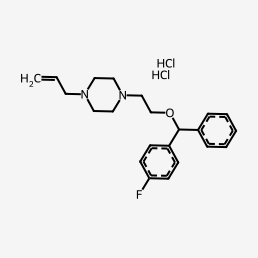 C=CCN1CCN(CCOC(c2ccccc2)c2ccc(F)cc2)CC1.Cl.Cl